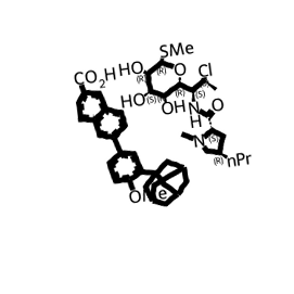 CCC[C@@H]1C[C@@H](C(=O)N[C@@H]([C@H]2O[C@H](SC)[C@H](O)[C@@H](O)[C@H]2O)[C@H](C)Cl)N(C)C1.COc1ccc(-c2ccc3cc(C(=O)O)ccc3c2)cc1C12CC3CC(CC(C3)C1)C2